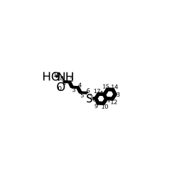 O=C(/C=C/C=C/CSc1ccc2ccccc2c1)NO